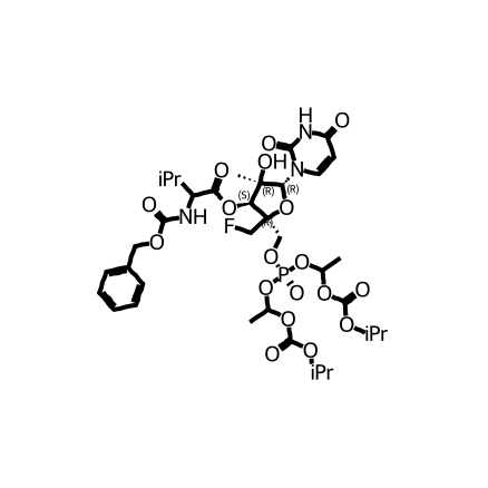 CC(C)OC(=O)OC(C)OP(=O)(OC[C@@]1(CF)O[C@@H](n2ccc(=O)[nH]c2=O)[C@](C)(O)[C@@H]1OC(=O)C(NC(=O)OCc1ccccc1)C(C)C)OC(C)OC(=O)OC(C)C